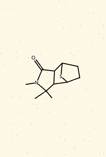 CN1C(=O)C2C3CCC(S3)C2C1(C)C